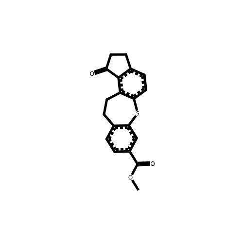 COC(=O)c1ccc2c(c1)Sc1ccc3c(c1CC2)C(=O)CC3